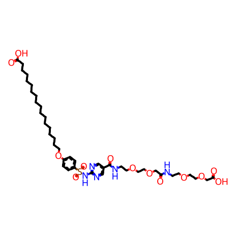 O=C(O)CCCCCCCCCCCCCCCCCOc1ccc(S(=O)(=O)Nc2ncc(C(=O)NCCOCCOCC(=O)NCCOCCOCC(=O)O)cn2)cc1